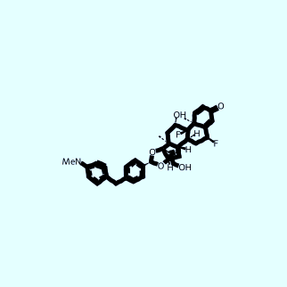 CNc1c#cc(Cc2ccc([C@H]3O[C@@H]4C[C@H]5[C@@H]6C[C@H](F)C7=CC(=O)C=C[C@]7(C)[C@@]6(F)[C@@H](O)C[C@]5(C)[C@]4(C(=O)CO)O3)cc2)cc1